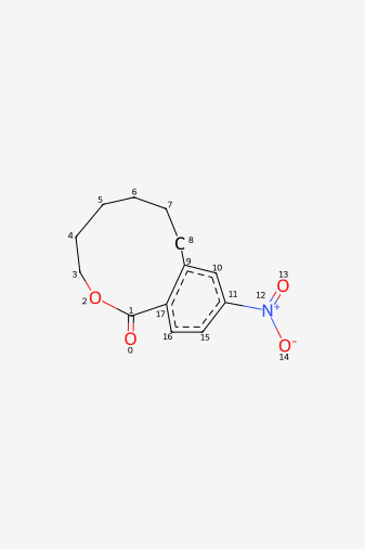 O=C1OCCCCCCc2cc([N+](=O)[O-])ccc21